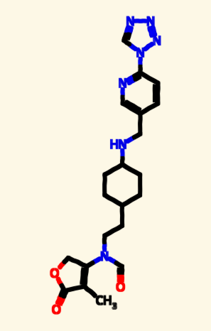 CC1=C(N(C=O)CCC2CCC(NCc3ccc(-n4cnnn4)nc3)CC2)COC1=O